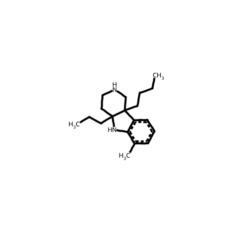 CCCCC12CNCCC1(CCC)Nc1c(C)cccc12